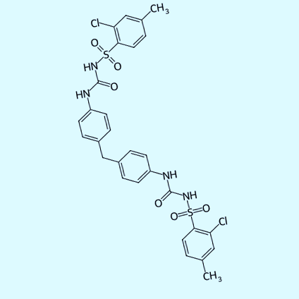 Cc1ccc(S(=O)(=O)NC(=O)Nc2ccc(Cc3ccc(NC(=O)NS(=O)(=O)c4ccc(C)cc4Cl)cc3)cc2)c(Cl)c1